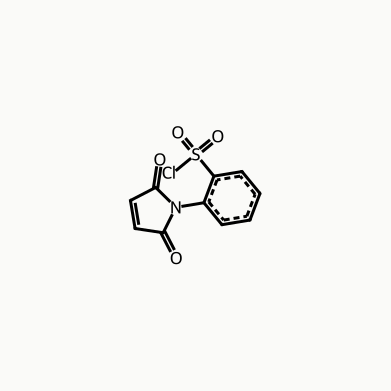 O=C1C=CC(=O)N1c1ccccc1S(=O)(=O)Cl